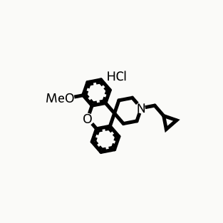 COc1cccc2c1Oc1ccccc1C21CCN(CC2CC2)CC1.Cl